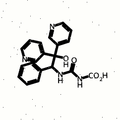 O=C(O)NC(=O)NC(c1ccccc1)C(O)(c1cccnc1)c1cccnc1